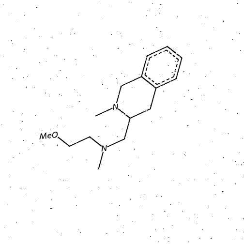 COCCN(C)CC1Cc2ccccc2CN1C